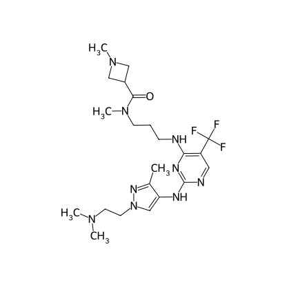 Cc1nn(CCN(C)C)cc1Nc1ncc(C(F)(F)F)c(NCCCN(C)C(=O)C2CN(C)C2)n1